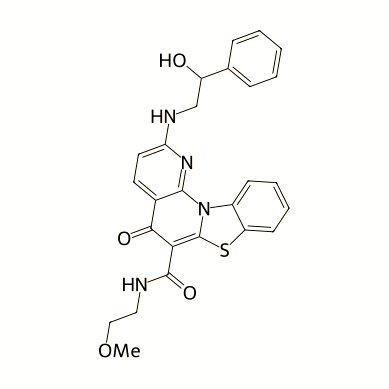 COCCNC(=O)c1c(=O)c2ccc(NCC(O)c3ccccc3)nc2n2c1sc1ccccc12